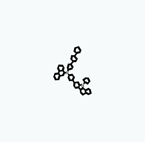 c1ccc(-c2ccc(-c3ccc(N(c4ccc(-c5ccc6c7ccc8ccccc8c7n(-c7ccccc7)c6c5)cc4)c4cc5ccccc5c5ccccc45)cc3)cc2)cc1